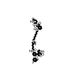 Cn1cc(-c2cc(NC(=O)CCCc3cn(CCCCCCCCNc4cccc5c4C(=O)N(C4CCC(=O)NC4=O)C5=O)nn3)ccc2Oc2ccc(F)cc2F)c2cc[nH]c2c1=O